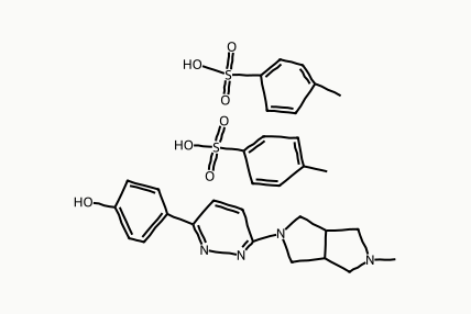 CN1CC2CN(c3ccc(-c4ccc(O)cc4)nn3)CC2C1.Cc1ccc(S(=O)(=O)O)cc1.Cc1ccc(S(=O)(=O)O)cc1